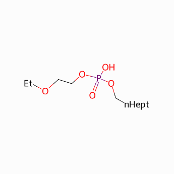 CCCCCCCCOP(=O)(O)OCCOCC